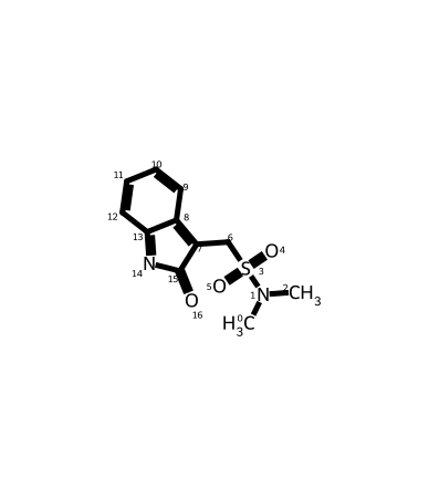 CN(C)S(=O)(=O)CC1=c2ccccc2=NC1=O